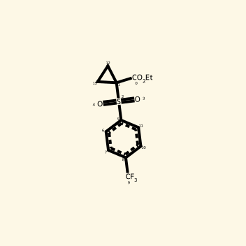 CCOC(=O)C1(S(=O)(=O)c2ccc(C(F)(F)F)cc2)CC1